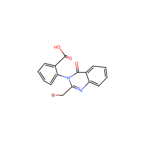 O=C(O)c1ccccc1-n1c(CBr)nc2ccccc2c1=O